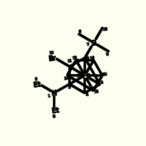 CCN(CC)[C]12[CH]3[CH]4[C]5([Si](C)(C)C)[C]1(Br)[Fe]34251678[CH]2[CH]1[CH]6[CH]7[CH]28